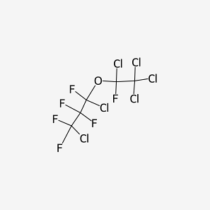 FC(F)(Cl)C(F)(F)C(F)(Cl)OC(F)(Cl)C(Cl)(Cl)Cl